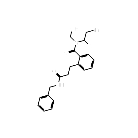 CC(C)CC([SiH3])N(CO)C(=O)c1ccccc1CCC(=O)NCc1ccccc1